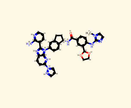 Cn1ccnc1Nc1ccc(C(=O)N[C@H]2CCc3cc(-n4c(-c5cccnc5N)nc5ccc(-n6cccn6)nc54)ccc32)cc1C1OCCO1